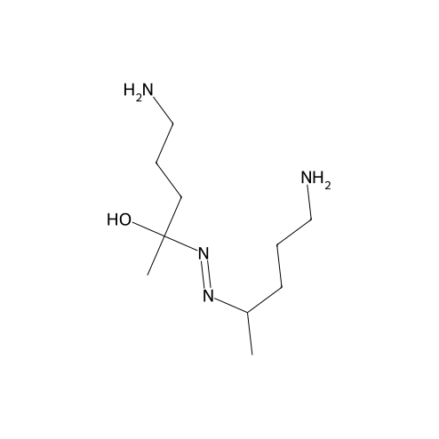 CC(CCCN)N=NC(C)(O)CCCN